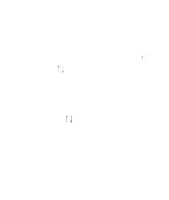 Cc1ccc(C)n1-c1cc(Cl)ccn1